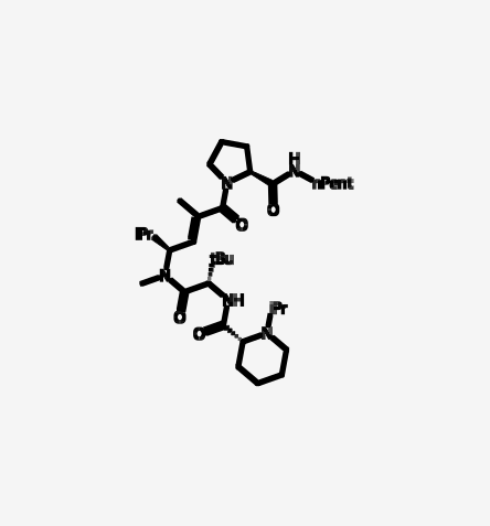 CCCCCNC(=O)[C@@H]1CCCN1C(=O)/C(C)=C/[C@H](C(C)C)N(C)C(=O)[C@@H](NC(=O)[C@H]1CCCCN1C(C)C)C(C)(C)C